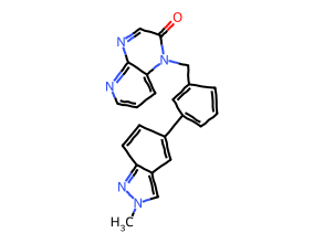 Cn1cc2cc(-c3cccc(Cn4c(=O)cnc5ncccc54)c3)ccc2n1